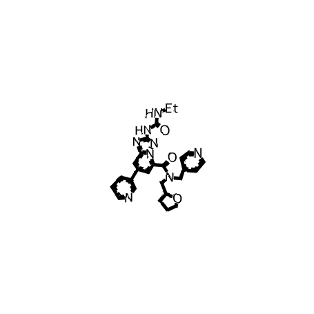 CCNC(=O)Nc1nc2cc(-c3cccnc3)cc(C(=O)N(Cc3ccncc3)CC3CCCO3)n2n1